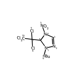 CCCCN1N=CN([N+](=O)[O-])C1C(Cl)(Cl)C(Cl)(Cl)Cl